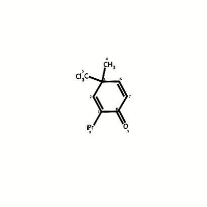 CC(C)C1=CC(C)(C(Cl)(Cl)Cl)C=CC1=O